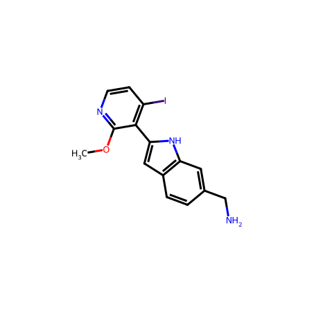 COc1nccc(I)c1-c1cc2ccc(CN)cc2[nH]1